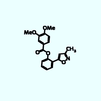 COc1ccc(C(=O)Oc2ccccc2-c2cc(C)no2)cc1OC